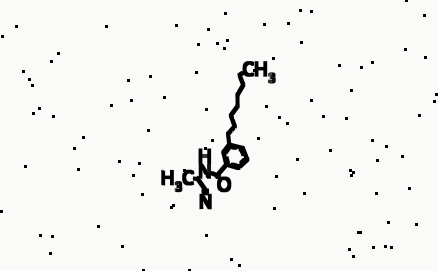 CCCCCCCCc1cccc(C(=O)NC(C)C#N)c1